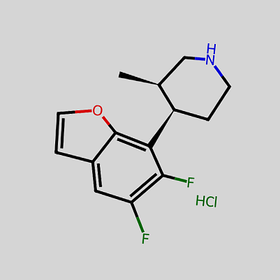 C[C@H]1CNCC[C@H]1c1c(F)c(F)cc2ccoc12.Cl